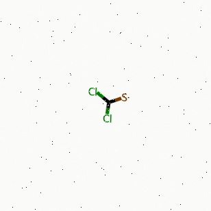 [S]C(Cl)Cl